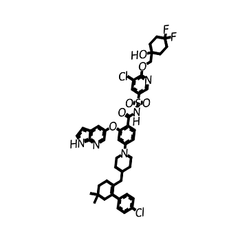 CC1(C)CCC(CC2CCN(c3ccc(C(=O)NS(=O)(=O)c4cnc(OCC5(O)CCC(F)(F)CC5)c(Cl)c4)c(Oc4cnc5[nH]ccc5c4)c3)CC2)=C(c2ccc(Cl)cc2)C1